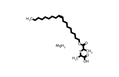 CCCCCCCC/C=C\CCCCCCCCOC(=O)C(C)SC(C)C(=O)O.[MgH2]